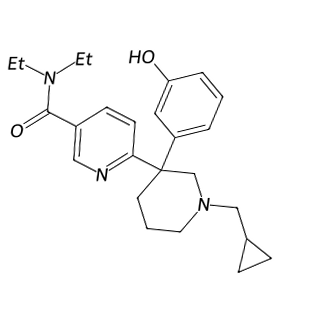 CCN(CC)C(=O)c1ccc(C2(c3cccc(O)c3)CCCN(CC3CC3)C2)nc1